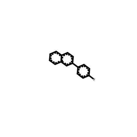 Fc1c[c]c(-c2ccc3ccccc3c2)[c]c1